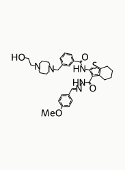 COc1ccc(C=NNC(=O)c2c(NC(=O)c3cccc(CN4CCN(CCO)CC4)c3)sc3c2CCCC3)cc1